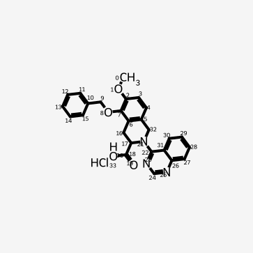 COc1ccc2c(c1OCc1ccccc1)CC(C(=O)O)N(c1ncnc3ccccc13)C2.Cl